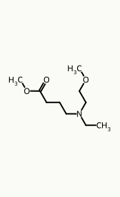 CCN(CCCC(=O)OC)CCOC